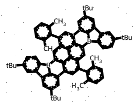 Cc1cccc(C)c1-c1cc2c3c(cc4c(-c5c(C)cccc5C)cc5c6c(cc1c3c46)B1c3ccc(C(C)(C)C)cc3-c3cc(C(C)(C)C)cc-5c31)B1c3ccc(C(C)(C)C)cc3-c3cc(C(C)(C)C)cc-2c31